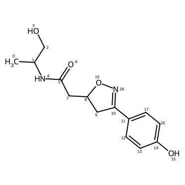 CC(CO)NC(=O)CC1CC(c2ccc(O)cc2)=NO1